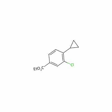 CCOC(=O)c1ccc(C2CC2)c(Cl)c1